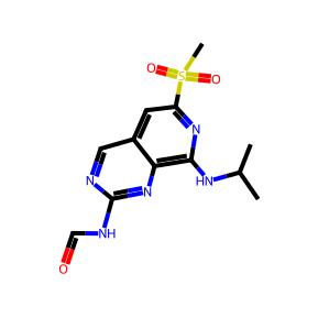 CC(C)Nc1nc(S(C)(=O)=O)cc2cnc(NC=O)nc12